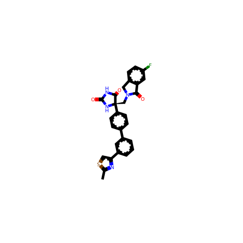 Cc1nc(-c2cccc(-c3ccc([C@]4(CN5Cc6ccc(F)cc6C5=O)NC(=O)NC4=O)cc3)c2)cs1